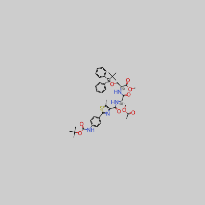 COC(=O)[C@H](CO[Si](c1ccccc1)(c1ccccc1)C(C)(C)C)NC(=O)[C@H](COC(C)=O)NC(=O)c1nc(-c2ccc(NC(=O)OC(C)(C)C)cc2)sc1C